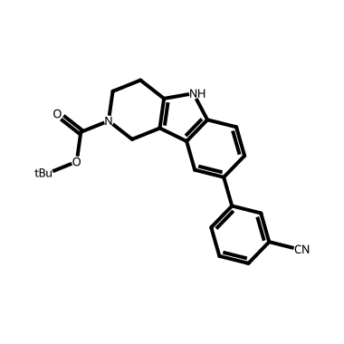 CC(C)(C)OC(=O)N1CCc2[nH]c3ccc(-c4cccc(C#N)c4)cc3c2C1